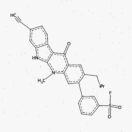 C#Cc1ccc2c(c1)[nH]c1c2c(=O)c2cc(CC(C)C)c(-c3cccc(S(=O)(=O)F)c3)cc2n1C